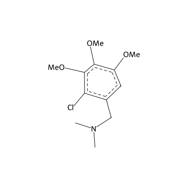 COc1cc(CN(C)C)c(Cl)c(OC)c1OC